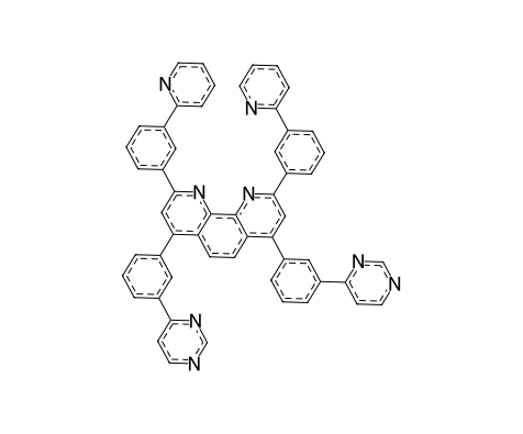 c1ccc(-c2cccc(-c3cc(-c4cccc(-c5ccncn5)c4)c4ccc5c(-c6cccc(-c7ccncn7)c6)cc(-c6cccc(-c7ccccn7)c6)nc5c4n3)c2)nc1